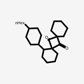 CCCCCCC1CCC(C2CCCCC23C(=O)C2(CCCCC2)C3=O)CC1